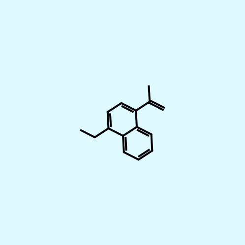 C=C(C)c1ccc(CC)c2ccccc12